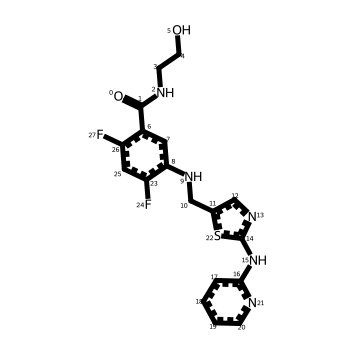 O=C(NCCO)c1cc(NCc2cnc(Nc3ccccn3)s2)c(F)cc1F